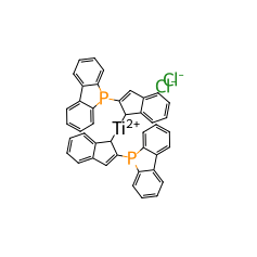 C1=C(p2c3ccccc3c3ccccc32)[CH]([Ti+2][CH]2C(p3c4ccccc4c4ccccc43)=Cc3ccccc32)c2ccccc21.[Cl-].[Cl-]